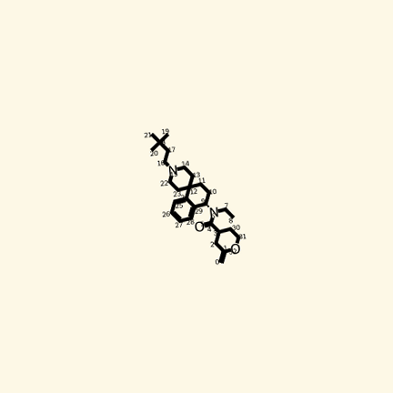 C=C1CC(C(=O)N(CC)[C@H]2CCC3(CCN(CCC(C)(C)C)CC3)c3ccccc32)CCO1